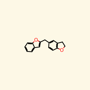 c1ccc2oc(Cc3ccc4c(c3)CCO4)cc2c1